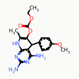 CCOC(=O)OC1=C(C)Nc2nc(N)nc(N)c2C1c1ccc(OC)cc1